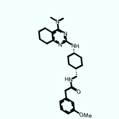 COc1cccc(CC(=O)NC[C@H]2CC[C@@H](Nc3nc4c(c(N(C)C)n3)CCCC4)CC2)c1